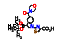 CC1(C)OB(c2cn(-c3nc(C(=O)O)cs3)c3ccc(C(=O)N4CCOCC4)cc23)OC1(C)C